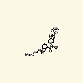 COCCCn1ncc2c(C(=O)N(C3CC3)C3CCc4nn(C(=O)OC(C)(C)C)cc4C3)cccc21